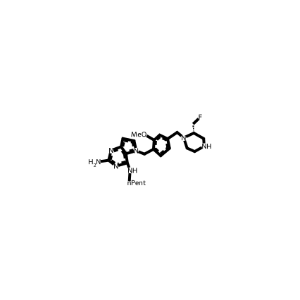 CCCCCNc1nc(N)nc2ccn(Cc3ccc(CN4CCNC[C@H]4CF)cc3OC)c12